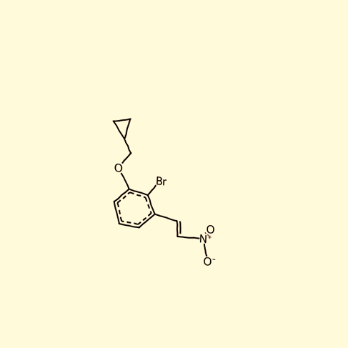 O=[N+]([O-])C=Cc1cccc(OCC2CC2)c1Br